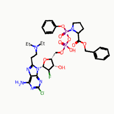 CCN(CC)CCc1nc2c(N)nc(Cl)nc2n1[C@@H]1O[C@H](COP(=O)(O)OP(=O)(Oc2ccccc2)N2CCCC2C(=O)OCc2ccccc2)[C@H](O)C1F